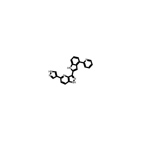 c1ccc(-c2cccc3[nH]c(-c4n[nH]c5ccc(-c6cn[nH]c6)nc45)cc23)nc1